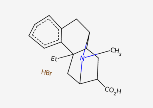 Br.CCC12CC3C(C(=O)O)CC1C(Cc1ccccc12)N3C